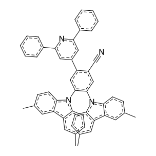 Cc1ccc2c(c1)c1cc(C)ccc1n2-c1cc(C#N)c(-c2cc(-c3ccccc3)nc(-c3ccccc3)c2)cc1-n1c2ccc(C)cc2c2cc(C)ccc21